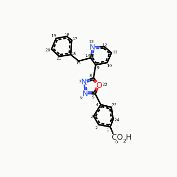 O=C(O)c1ccc(-c2nnc(-c3cccnc3Cc3ccccc3)o2)cc1